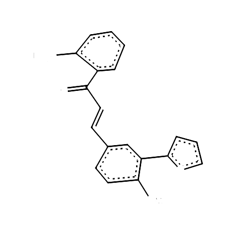 COc1ccc(C=CC(=O)c2ccccc2C(=O)O)cc1-c1cccs1